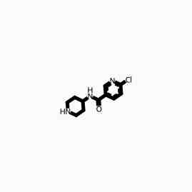 O=C(NC1CCNCC1)c1ccc(Cl)nc1